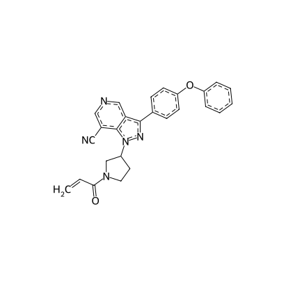 C=CC(=O)N1CCC(n2nc(-c3ccc(Oc4ccccc4)cc3)c3cncc(C#N)c32)C1